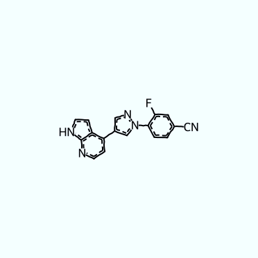 N#Cc1ccc(-n2cc(-c3ccnc4[nH]ccc34)cn2)c(F)c1